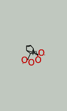 COC(=O)C1C2C=CC(C2)[C@H]1C(=O)OC